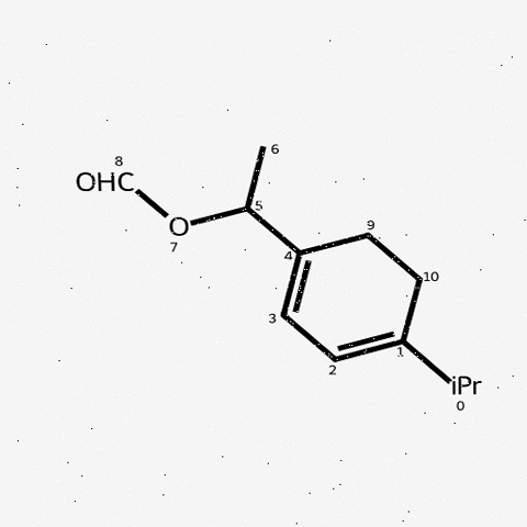 CC(C)C1=CC=C(C(C)OC=O)CC1